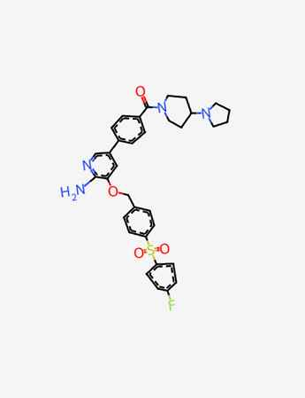 Nc1ncc(-c2ccc(C(=O)N3CCC(N4CCCC4)CC3)cc2)cc1OCc1ccc(S(=O)(=O)c2ccc(F)cc2)cc1